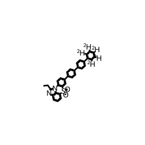 [2H]c1c([2H])c([2H])c(-c2ccc(-c3ccc(-c4ccc5c(c4)S(=O)(=O)c4cccc6nc(CC)n-5c46)cc3)cc2)c([2H])c1[2H]